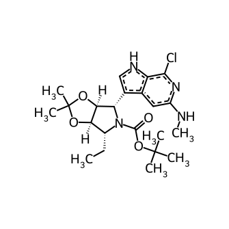 CC[C@@H]1[C@H]2OC(C)(C)O[C@H]2[C@H](c2c[nH]c3c(Cl)nc(NC)cc23)N1C(=O)OC(C)(C)C